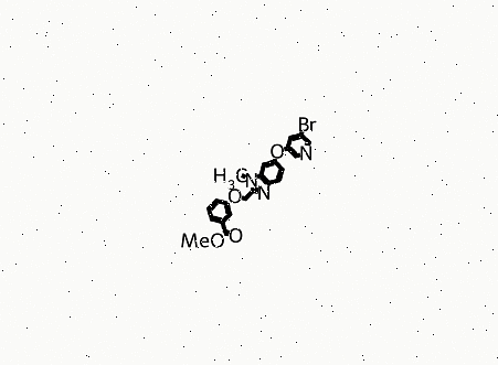 COC(=O)c1cccc(OCc2nc3ccc(Oc4cncc(Br)c4)cc3n2C)c1